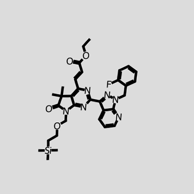 CCOC(=O)/C=C/c1nc(-c2nn(Cc3ccccc3F)c3ncccc23)nc2c1C(C)(C)C(=O)N2COCC[Si](C)(C)C